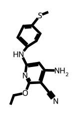 CCOc1nc(Nc2ccc(SC)cc2)cc(N)c1C#N